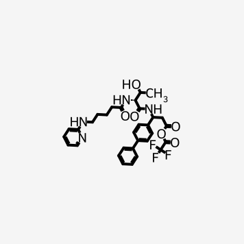 CC(O)[C@@H](NC(=O)CCCCNc1ccccn1)C(=O)NC(CC(=O)OC(=O)C(F)(F)F)c1ccc(-c2ccccc2)cc1